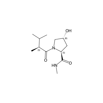 CNC(=O)[C@@H]1C[C@@H](O)CN1C(=O)[C@@H](C)C(C)C